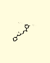 COc1cc(OC)cc(C(=O)/C=C/c2cc(-c3ccccc3)n[nH]2)c1